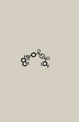 O=C(c1ccc(NSc2cccc3cccnc23)cc1)N1CCN(C(=O)c2cncc(F)c2)CC1